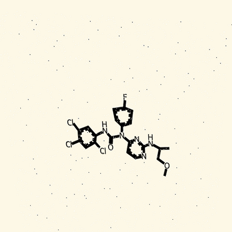 COCC(C)Nc1nccc(N(C(=O)Nc2cc(Cl)c(Cl)cc2Cl)c2ccc(F)cc2)n1